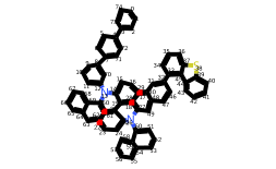 c1ccc(-c2ccc(-c3cccc(N(c4ccccc4-c4ccccc4N(c4ccc5cc(-c6cccc7sc8ccccc8c67)ccc5c4)c4cccc5ccccc45)c4cccc5ccccc45)c3)cc2)cc1